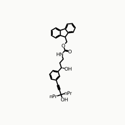 CCCC(O)(C#Cc1cccc([C@H](O)CCNC(=O)OCC2c3ccccc3-c3ccccc32)c1)CCC